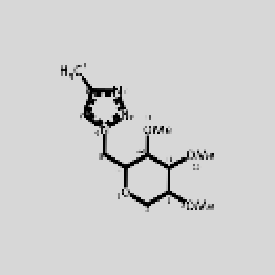 COC1COC(Cn2cc(C)nn2)C(OC)C1OC